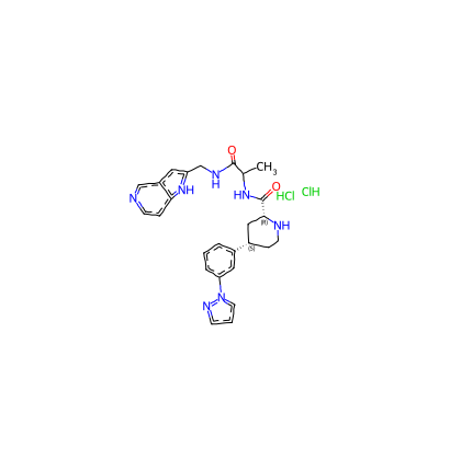 CC(NC(=O)[C@H]1C[C@@H](c2cccc(-n3cccn3)c2)CCN1)C(=O)NCc1cc2cnccc2[nH]1.Cl.Cl